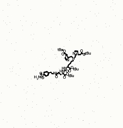 CC(C)(C)OC(=O)Cn1ccnc1CN(CCCCC(NC(=O)N[C@@H](CCC(=O)NCCc1ccc(S(N)(=O)=O)cc1)C(=O)OC(C)(C)C)C(=O)OC(C)(C)C)Cc1nccn1CC(=O)OC(C)(C)C